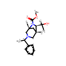 [2H]C([2H])(O)[C@H]1[C@H]2C[C@H](CN(C(C)c3ccccc3)C2)N1C(=O)OC(C)(C)C